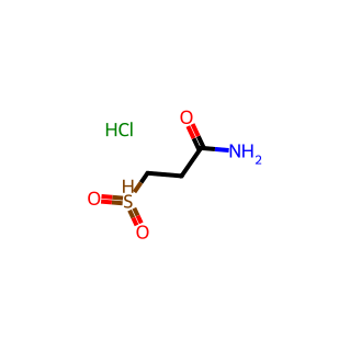 Cl.NC(=O)CC[SH](=O)=O